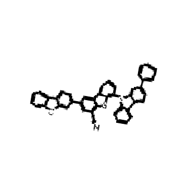 N#Cc1cc(-c2ccc3c(c2)oc2ccccc23)cc2c1sc1c(-n3c4ccccc4c4ccc(-c5ccccc5)cc43)cccc12